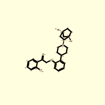 O=C(COc1ccccc1C1CCN([C@H]2C[C@H]3CC[C@H]2C3)CC1)c1ccccc1Cl